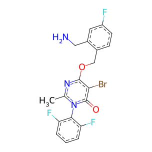 Cc1nc(OCc2ccc(F)cc2CN)c(Br)c(=O)n1-c1c(F)cccc1F